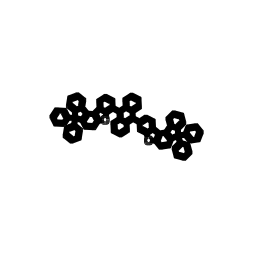 c1ccc(C2(c3ccccc3)c3ccccc3-c3c2ccc2oc4cc(-c5c6ccccc6c(-c6cccc7c6oc6ccc8c(c67)-c6ccccc6C8(c6ccccc6)c6ccccc6)c6ccccc56)ccc4c32)cc1